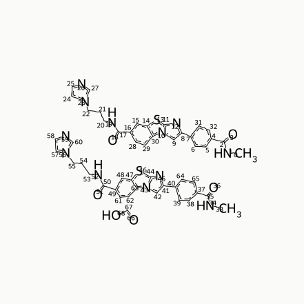 CNC(=O)c1ccc(-c2cn3c(n2)sc2cc(C(=O)NCCCn4ccnc4)ccc23)cc1.CNC(=O)c1ccc(-c2cn3c(n2)sc2cc(C(=O)NCCCn4ccnc4)ccc23)cc1.O=CO